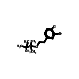 CC(C)(C)[Si](C)(C)OCCc1ccc(Cl)c(Br)c1